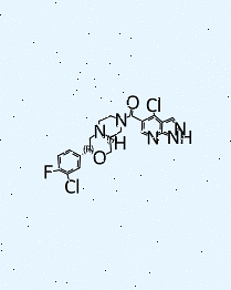 O=C(c1cnc2[nH]ncc2c1Cl)N1CCN2C[C@@H](c3ccc(F)c(Cl)c3)OC[C@@H]2C1